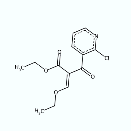 CCO/C=C(\C(=O)OCC)C(=O)c1cccnc1Cl